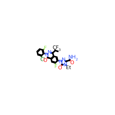 CCn1c(C(N)=O)nn(-c2cc3c(C(C)C(F)(F)F)nn(-c4c(F)cccc4Cl)c(=O)c3cc2F)c1=O